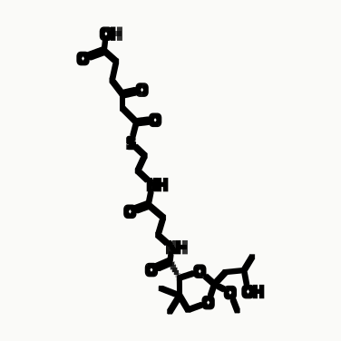 COC1(CC(C)O)OCC(C)(C)[C@H](C(=O)NCCC(=O)NCCSC(=O)CC(=O)CCC(=O)O)O1